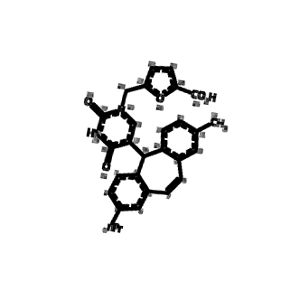 CCCc1ccc2c(c1)C=Cc1cc(C)ccc1C2c1cn(Cc2ccc(C(=O)O)o2)c(=O)[nH]c1=O